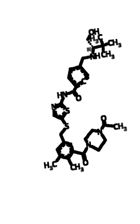 CC(=O)N1CCN(C(=O)c2cc(CSc3cnc(NC(=O)c4ccc(CN[C@H](CO)C(C)(C)C)cc4)s3)cc(C)c2C)CC1